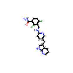 NC(=O)c1ccc(F)c(CNc2ccc(Cc3c[nH]c4ncccc34)cn2)c1F